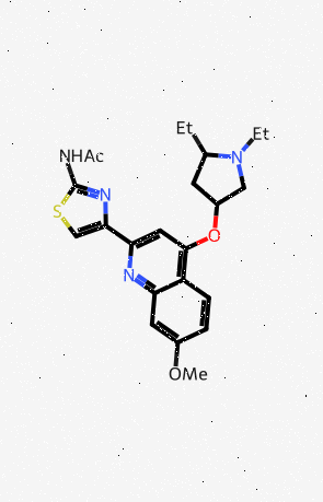 CCC1CC(Oc2cc(-c3csc(NC(C)=O)n3)nc3cc(OC)ccc23)CN1CC